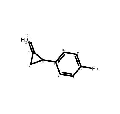 C=C1CC1c1ccc(F)cc1